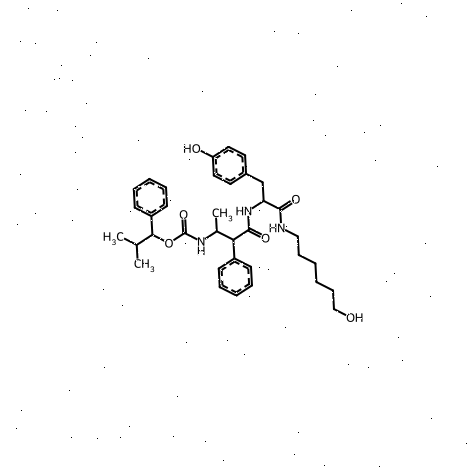 CC(C)C(OC(=O)NC(C)C(C(=O)NC(Cc1ccc(O)cc1)C(=O)NCCCCCCO)c1ccccc1)c1ccccc1